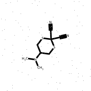 CN(C)C1CSC(C#N)(C#N)SC1